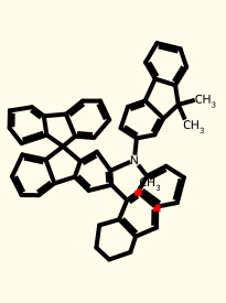 Cc1ccc2c(c1-c1cc3c(cc1N(c1ccccc1)c1ccc4c(c1)C(C)(C)c1ccccc1-4)C1(c4ccccc4-c4ccccc41)c1ccccc1-3)CCCC2